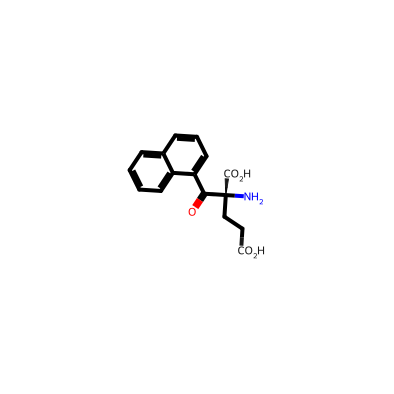 N[C@@](CCC(=O)O)(C(=O)O)C(=O)c1cccc2ccccc12